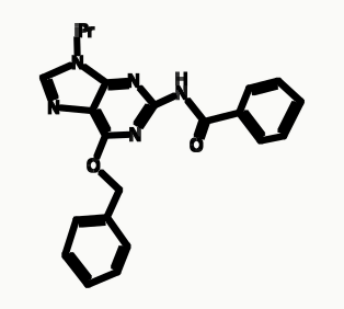 CC(C)n1cnc2c(OCc3ccccc3)nc(NC(=O)c3ccccc3)nc21